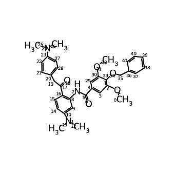 COc1cc(C(=O)Nc2cc(N(C)C)ccc2C(=O)Cc2ccc(N(C)C)cc2)cc(OC)c1OCc1ccccc1